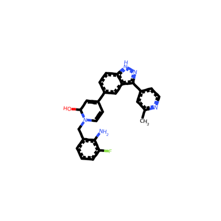 Cc1cc(-c2n[nH]c3ccc(C4=CC(O)N(Cc5cccc(F)c5N)C=C4)cc23)ccn1